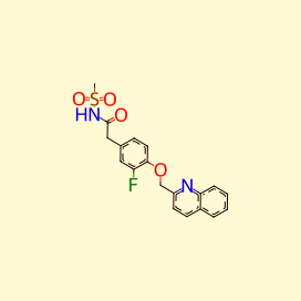 CS(=O)(=O)NC(=O)Cc1ccc(OCc2ccc3ccccc3n2)c(F)c1